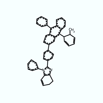 CC1C=CC=CC1c1c2ccccc2c(-c2ccccc2)c2ccc(-c3ccc(-c4nc5c(n4-c4ccccc4)C=CCC5)cc3)cc12